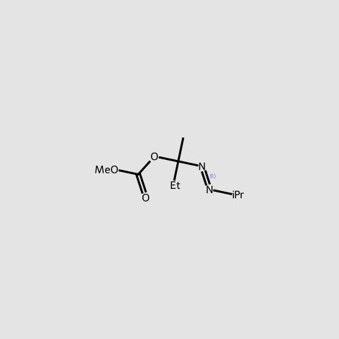 CCC(C)(/N=N/C(C)C)OC(=O)OC